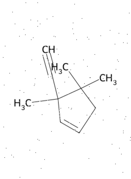 C#CC1(C)C=CCC1(C)C